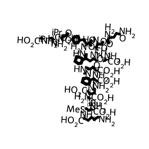 CC(C)C[C@H](N)C(=O)O.CC(C)[C@H](N)C(=O)Oc1ccc(C[C@H](N)C(=O)O[C@H](C)[C@H](N)C(=O)OC(=O)[C@@H](N)CCC(N)=O)cc1.CC[C@H](C)[C@H](N)C(=O)O.CSCC[C@H](N)C(=O)O.NCC(=O)O.NCCCC[C@H](N)C(=O)O.N[C@@H](COC(=O)[C@@H](N)Cc1c[nH]c2ccccc12)C(=O)O.N[C@@H](Cc1c[nH]cn1)C(=O)O.N[C@@H](Cc1ccccc1)C(=O)O.O=C(O)[C@@H]1CCCN1